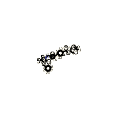 CC1(C)OCC(OC(=O)c2ccc(-c3ccc(/C=C4/SC(=S)N(Cc5ccccc5)C4=O)o3)cc2)CO1